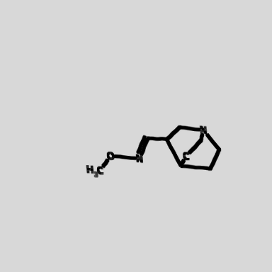 CON=CC1CN2CCC1CC2